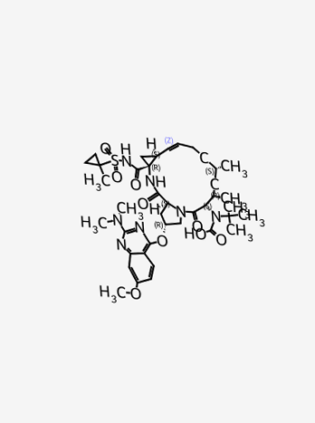 COc1ccc2c(O[C@@H]3C[C@H]4C(=O)N[C@]5(C(=O)NS(=O)(=O)C6(C)CC6)C[C@H]5/C=C\CC[C@H](C)C[C@@H](C)[C@H](N(C(=O)O)C(C)(C)C)C(=O)N4C3)nc(N(C)C)nc2c1